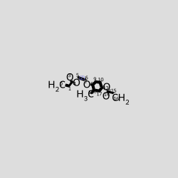 C=CC(=O)O/C=C\Oc1ccc(OC(=O)C=C)cc1C